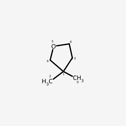 CC1(C)[CH]COC1